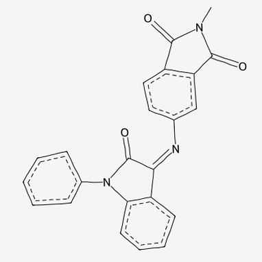 CN1C(=O)c2ccc(N=C3C(=O)N(c4ccccc4)c4ccccc43)cc2C1=O